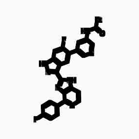 CCC(=O)Nc1cncc(-c2cc3c(-c4nc5c(-c6ccc(F)cc6)nccc5[nH]4)n[nH]c3cc2F)c1